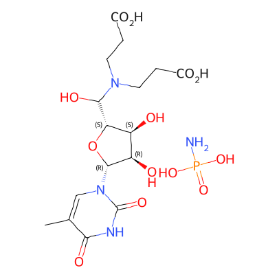 Cc1cn([C@@H]2O[C@H](C(O)N(CCC(=O)O)CCC(=O)O)[C@@H](O)[C@H]2O)c(=O)[nH]c1=O.NP(=O)(O)O